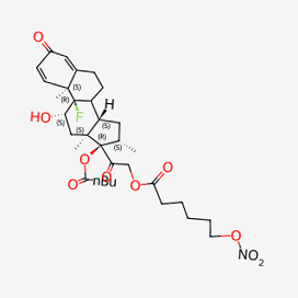 CCCCC(=O)O[C@]1(C(=O)COC(=O)CCCCCO[N+](=O)[O-])[C@@H](C)C[C@H]2C3CCC4=CC(=O)C=C[C@]4(C)[C@@]3(F)[C@@H](O)C[C@@]21C